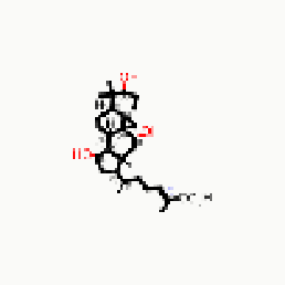 C/C(=C\CC[C@@H](C)[C@H]1C[C@H](O)[C@@]2(C)[C@@H]3CC[C@H]4C(C)(C)[C@@H](O)CC[C@@]45C[C@@]35[C@H](O)C[C@]12C)C(=O)O